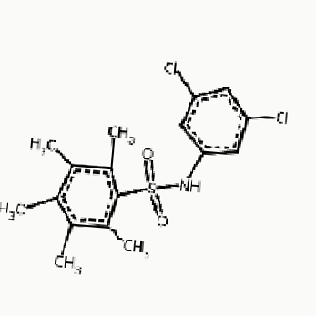 Cc1c(C)c(C)c(S(=O)(=O)Nc2cc(Cl)cc(Cl)c2)c(C)c1C